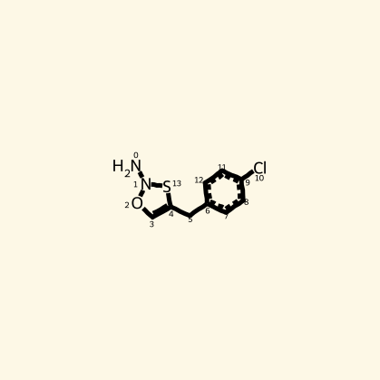 NN1OC=C(Cc2ccc(Cl)cc2)S1